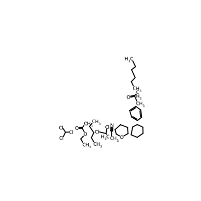 C1CCCCC1.C1CCOCC1.CC#N.CC(C)=O.CC(Cl)Cl.CCCCC.CCCCCC.CCOC(C)=O.ClC(Cl)Cl.c1ccccc1